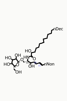 CCCCCCCCC/C=C/C=C/[C@@H](O)[C@H](CO[C@@H]1O[C@H](CO)[C@@H](O)C(O)C1O)NC(=O)C(O)CCCCCCCCCCCCCCCCCCCC